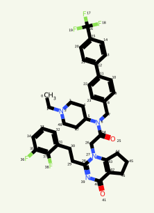 CCN1CCC(N(Cc2ccc(-c3ccc(C(F)(F)F)cc3)cc2)C(=O)Cn2c(CCc3cccc(F)c3F)nc(=O)c3c2CCC3)CC1